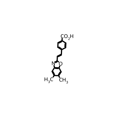 Cc1cc2nc(C=Cc3ccc(C(=O)O)cc3)oc2cc1C